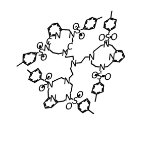 Cc1ccc(S(=O)(=O)N2CCN(CCN(CCN3CCN(S(=O)(=O)c4ccc(C)cc4)Cc4cccc(n4)CN(S(=O)(=O)c4ccc(C)cc4)CC3)CCN3CCN(S(=O)(=O)c4ccc(C)cc4)Cc4cccc(n4)CN(S(=O)(=O)c4ccc(C)cc4)CC3)CCN(S(=O)(=O)c3ccc(C)cc3)Cc3cccc(n3)C2)cc1